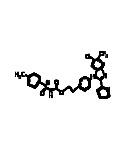 Cc1ccc(S(=O)(=O)NC(=O)OCCc2ccc([SH]3C(c4ccccn4)=Nc4cc(C(F)(F)F)c(Cl)cc43)cc2)cc1